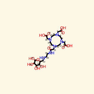 O=C(O)CN1CCN(CC(=O)O)CCN(CC(=O)NCCNCC2O[C@H](O)C(O)C(O)[C@@H]2O)CCN(CC(=O)O)CC1